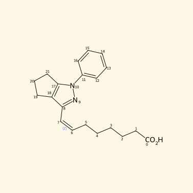 O=C(O)CCCCC/C=C\c1nn(-c2ccccc2)c2c1CCC2